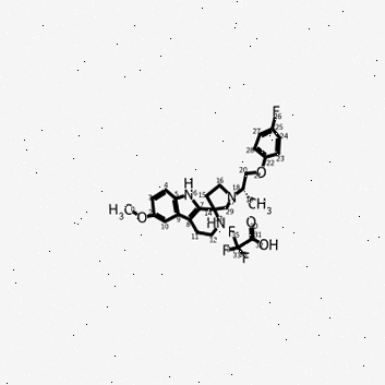 COc1ccc2[nH]c3c(c2c1)CCNC31CCN([C@@H](C)COc2ccc(F)cc2)C1.O=C(O)C(F)(F)F